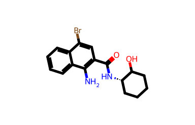 Nc1c(C(=O)N[C@H]2CCCCC2O)cc(Br)c2ccccc12